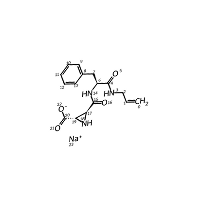 C=CCNC(=O)[C@H](Cc1ccccc1)NC(=O)[C@H]1N[C@@H]1C(=O)[O-].[Na+]